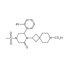 CC(C)c1ccccc1C1CN(S(C)(=O)=O)CC(=O)N1C1CC2(CCN(C(=O)O)CC2)C1